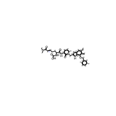 CN(C)C(=O)/C=C/CCC(NC(=O)O)C(=O)Nc1cccn(Cc2nc3cc(F)c(F)c(OCc4ccccc4)c3[nH]2)c1=O